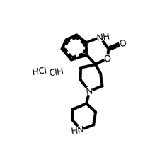 Cl.Cl.O=C1Nc2ccccc2C2(CCN(C3CCNCC3)CC2)O1